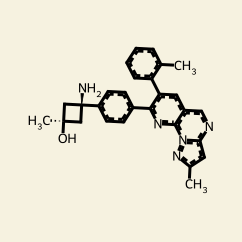 Cc1cc2ncc3cc(-c4ccccc4C)c(-c4ccc([C@]5(N)C[C@@](C)(O)C5)cc4)nc3n2n1